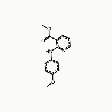 COC(=O)c1cccnc1Nc1ccc(OC)cc1